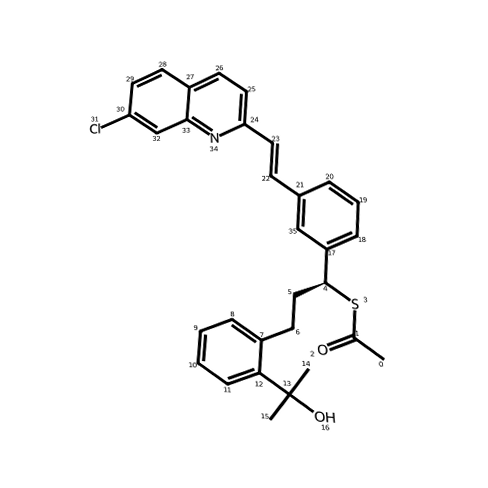 CC(=O)S[C@@H](CCc1ccccc1C(C)(C)O)c1cccc(C=Cc2ccc3ccc(Cl)cc3n2)c1